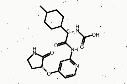 CC1CCC([C@H](NC(=O)O)C(=O)Nc2cc(OC3CCNC3=O)ccn2)CC1